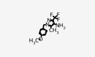 COc1ccc(Cn2nc(C(F)(F)F)c(N)c2C)cc1